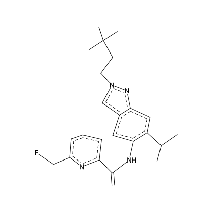 C=C(Nc1cc2cn(CCC(C)(C)C)nc2cc1C(C)C)c1cccc(CF)n1